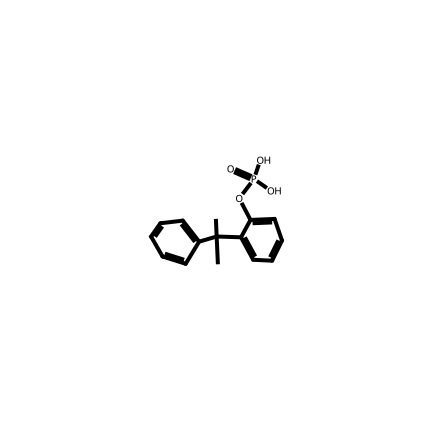 CC(C)(c1ccccc1)c1ccccc1OP(=O)(O)O